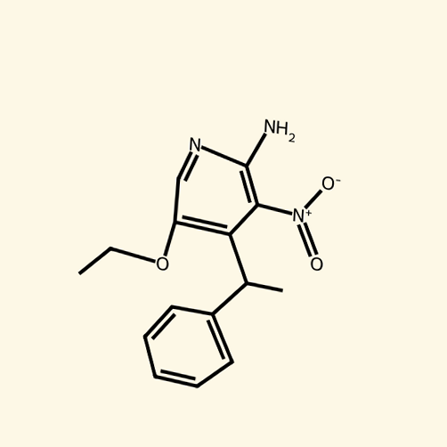 CCOc1cnc(N)c([N+](=O)[O-])c1C(C)c1ccccc1